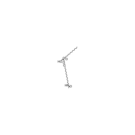 CCCCCCCCCCCC(=O)O[C@H](CO)COCOCCCCCCCCCCCCCNC(C)=O